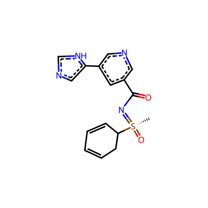 C[S@@](=O)(=NC(=O)c1cncc(-c2cnc[nH]2)c1)C1C=CC=CC1